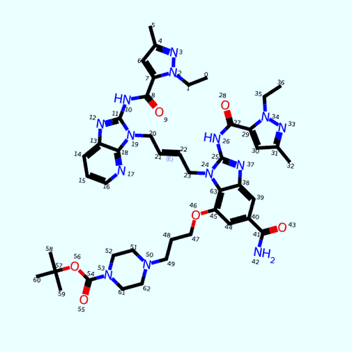 CCn1nc(C)cc1C(=O)Nc1nc2cccnc2n1C/C=C/Cn1c(NC(=O)c2cc(C)nn2CC)nc2cc(C(N)=O)cc(OCCCN3CCN(C(=O)OC(C)(C)C)CC3)c21